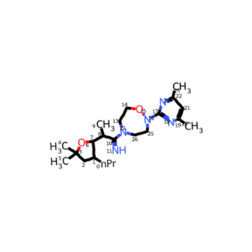 CCCC1CC(C)(C)OC1C(C)C(=N)N1CCON(c2nc(C)cc(C)n2)CC1